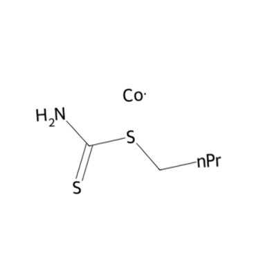 CCCCSC(N)=S.[Co]